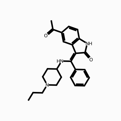 CCCN1CCC(NC(=C2C(=O)Nc3ccc(C(C)=O)cc32)c2ccccc2)CC1